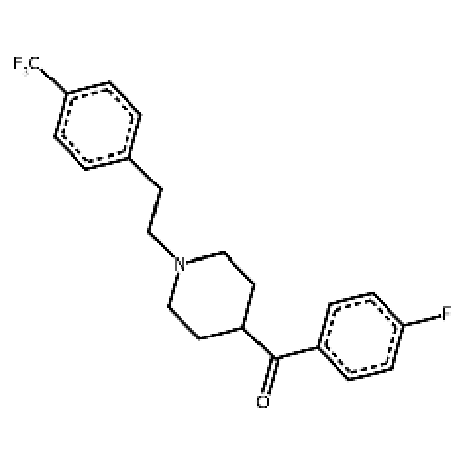 O=C(c1ccc(F)cc1)C1CCN(CCc2ccc(C(F)(F)F)cc2)CC1